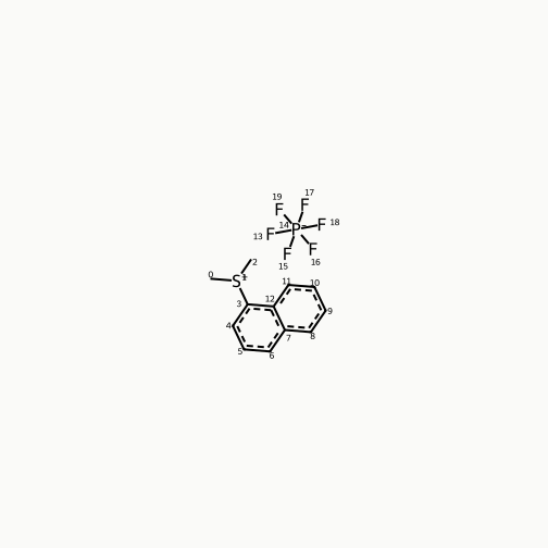 C[S+](C)c1cccc2ccccc12.F[P-](F)(F)(F)(F)F